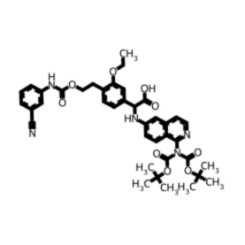 CCOc1cc(C(Nc2ccc3c(N(C(=O)OC(C)(C)C)C(=O)OC(C)(C)C)nccc3c2)C(=O)O)ccc1CCOC(=O)Nc1cccc(C#N)c1